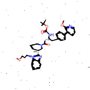 COCCCn1c([C@@H]2CCCN(C(=O)C[C@@H](Cc3ccc(-c4cccnc4OC)cc3)NC(=O)OC(C)(C)C)C2)nc2ccccc21